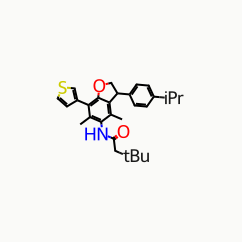 Cc1c(NC(=O)CC(C)(C)C)c(C)c2c(c1-c1ccsc1)OCC2c1ccc(C(C)C)cc1